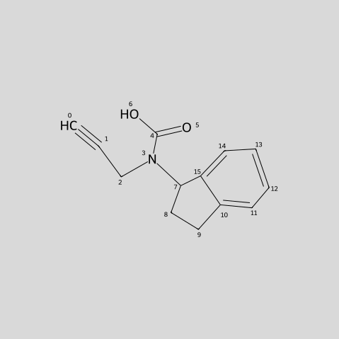 C#CCN(C(=O)O)C1CCc2ccccc21